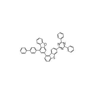 c1ccc(-c2ccc(-c3cc(-c4cccc5sc6cc(-c7nc(-c8ccccc8)nc(-c8ccccc8)n7)ccc6c45)cc4oc5ccccc5c34)cc2)cc1